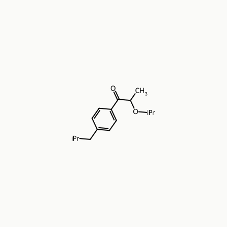 CC(C)Cc1ccc(C(=O)C(C)OC(C)C)cc1